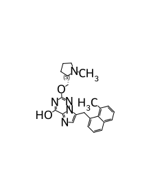 Cc1cccc2cccc(Cc3cnc4c(O)nc(OC[C@@H]5CCCN5C)nn34)c12